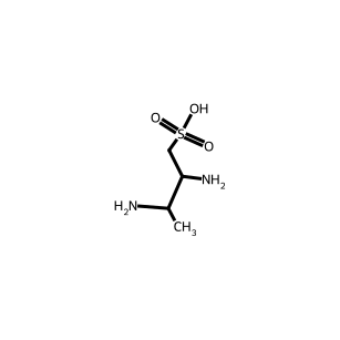 CC(N)C(N)CS(=O)(=O)O